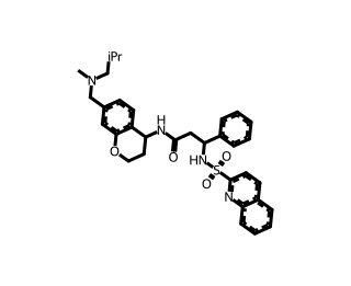 CC(C)CN(C)Cc1ccc2c(c1)OCCC2NC(=O)CC(NS(=O)(=O)c1ccc2ccccc2n1)c1ccccc1